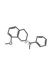 COc1cccc2c1C[C@@H](N(C)c1ccccc1)CC2